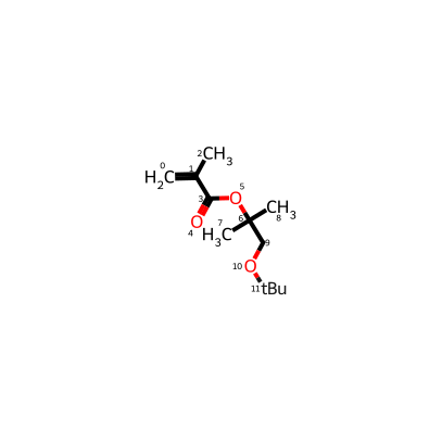 C=C(C)C(=O)OC(C)(C)COC(C)(C)C